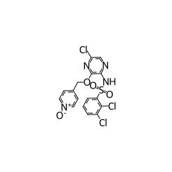 O=S(=O)(Nc1ncc(Cl)nc1OCc1cc[n+]([O-])cc1)c1cccc(Cl)c1Cl